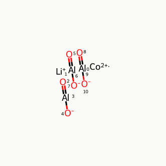 [Co+2].[Li+].[O]=[Al][O-].[O]=[Al][O-].[O]=[Al][O-]